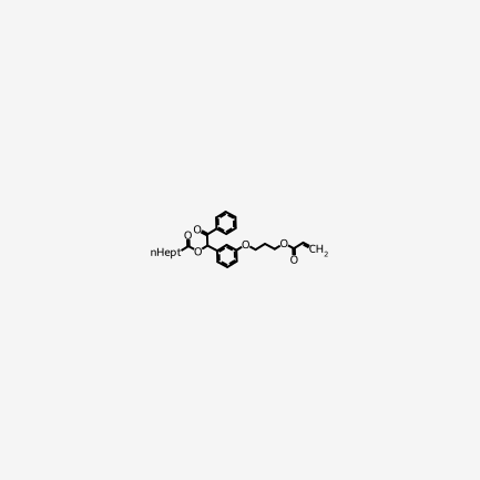 C=CC(=O)OCCCOc1cccc(C(OC(=O)CCCCCCC)C(=O)c2ccccc2)c1